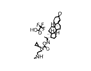 CNCCN(C(=O)O/N=C(\C)[C@H]1CC[C@H]2[C@@H]3CCC4=CC(=O)CC[C@]4(C)[C@H]3CC[C@]12C)C1CC1.O=C(O)C(F)(F)F